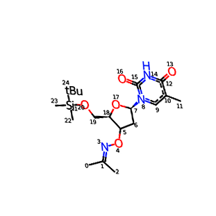 CC(C)=NOC1C[C@H](n2cc(C)c(=O)[nH]c2=O)O[C@@H]1CO[Si](C)(C)C(C)(C)C